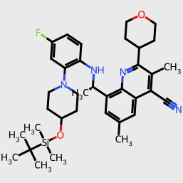 Cc1cc([C@@H](C)Nc2ccc(F)cc2N2CCC(O[Si](C)(C)C(C)(C)C)CC2)c2nc(C3CCOCC3)c(C)c(C#N)c2c1